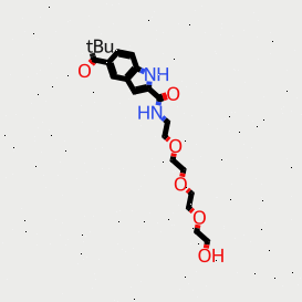 CC(C)(C)C(=O)c1ccc2[nH]c(C(=O)NCCOCCOCCOCCO)cc2c1